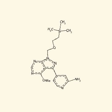 COc1ncnc2c1c(-c1ccnc(N)c1)nn2COCC[Si](C)(C)C